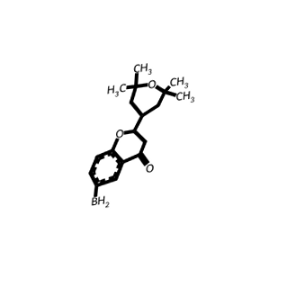 Bc1ccc2c(c1)C(=O)CC(C1CC(C)(C)OC(C)(C)C1)O2